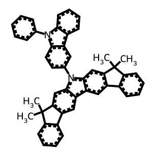 CC1(C)c2ccccc2-c2cc3c4cc5c(cc4n(-c4ccc6c(c4)c4ccccc4n6-c4ccccc4)c3cc21)C(C)(C)c1ccccc1-5